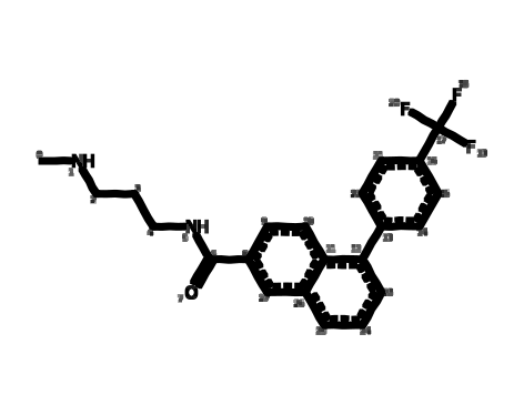 CNCCCNC(=O)c1ccc2c(-c3ccc(C(F)(F)F)cc3)cccc2c1